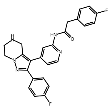 O=C(Cc1ccc(F)cc1)Nc1cc(-c2c(-c3ccc(F)cc3)nn3c2CNCC3)ccn1